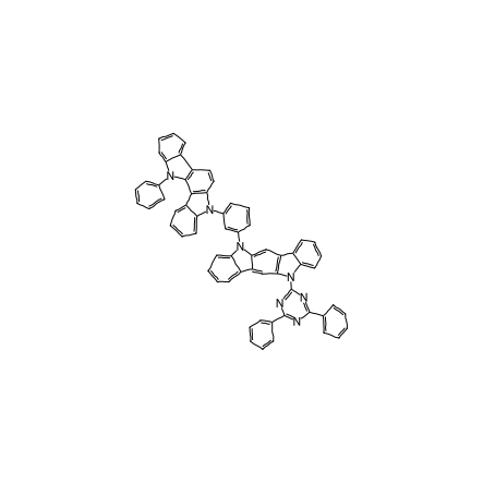 c1ccc(-c2nc(-c3ccccc3)nc(-n3c4ccccc4c4cc5c(cc43)c3ccccc3n5-c3cccc(-n4c5ccccc5c5c4ccc4c6ccccc6n(-c6ccccc6)c45)c3)n2)cc1